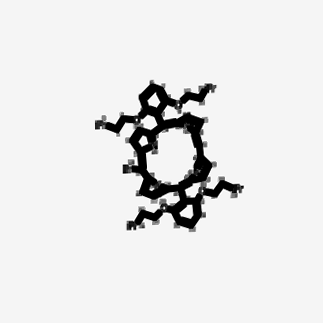 CC(C)CCOc1cccc(OCCC(C)C)c1-c1c2nc(c(Br)c3ccc([nH]3)c(-c3c(OCCC(C)C)cccc3OCCC(C)C)c3nc(cc4ccc1[nH]4)C=C3)C=C2